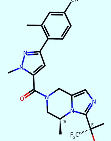 Cc1cc(C#N)ccc1-c1cc(C(=O)N2Cc3cnc([C@@](C)(O)C(F)(F)F)n3[C@@H](C)C2)n(C)n1